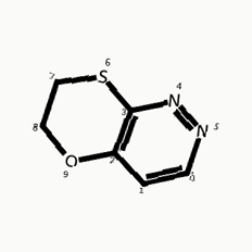 [c]1cc2c(nn1)SCCO2